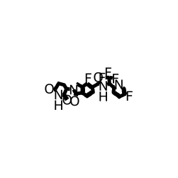 O=C1CCC(N2Cc3c(ccc(C(=O)NC(c4ccc(F)cn4)C(F)(F)F)c3F)C2=O)C(=O)N1